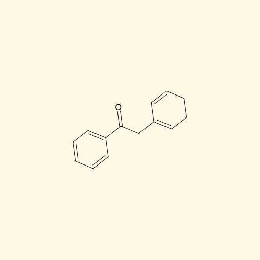 O=C(CC1=CCCC=C1)c1ccccc1